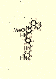 COc1nc(-c2cccc3c2OCCO3)ccc1Nc1ccc(CNCC2CCNCC2)cc1